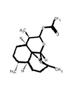 C[C@@H]1CC[C@H]2[C@@H](C)C(OC(=O)C(F)(F)F)O[C@@H]3OC4(C)CC[C@@H]1C32OO4